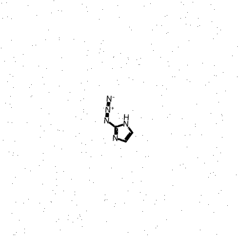 [N-]=[N+]=Nc1ncc[nH]1